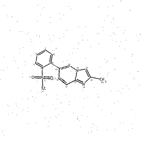 CCS(=O)(=O)c1ccccc1-c1ccc2nc(C(F)(F)F)cn2c1